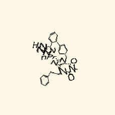 CCCc1nc2c(c(=O)n(C)c(=O)n2CCc2ccccc2)n1Cc1ccc(-c2ccccc2-c2nnn[nH]2)cc1